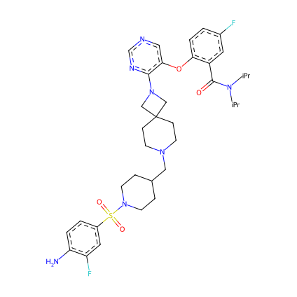 CC(C)N(C(=O)c1cc(F)ccc1Oc1cncnc1N1CC2(CCN(CC3CCN(S(=O)(=O)c4ccc(N)c(F)c4)CC3)CC2)C1)C(C)C